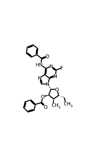 CC[C@H]1O[C@@H](n2cnc3c(NC(=O)c4ccccc4)nc(F)nc32)[C@H](OC(=O)c2ccccc2)[C@@H]1C